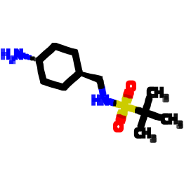 CC(C)(C)S(=O)(=O)NC[C@H]1CC[C@H](N)CC1